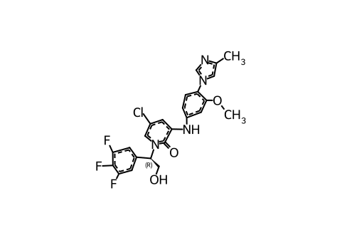 COc1cc(Nc2cc(Cl)cn([C@@H](CO)c3cc(F)c(F)c(F)c3)c2=O)ccc1-n1cnc(C)c1